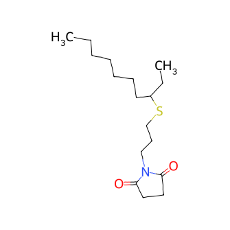 CCCCCCCC(CC)SCCCN1C(=O)CCC1=O